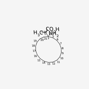 C[C@@H](C(=O)O)C1(N)CCCCCCCCCCCCCCCCC1